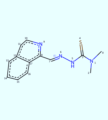 CN(C)C(=S)N/N=C/c1nccc2ccccc12